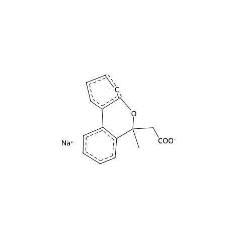 CC1(CC(=O)[O-])Oc2ccccc2-c2ccccc21.[Na+]